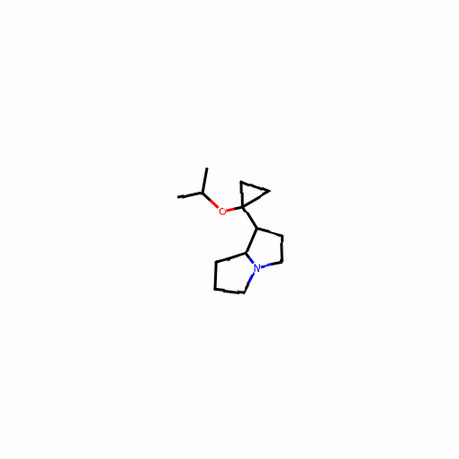 CC(C)OC1(C2CCN3CCCC23)CC1